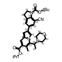 Cc1c(C(=O)OC(C)C)cc2cc(-c3cc(C#N)c4c(c3)CCN4C(=O)OC(C)(C)C)cn2c1C(C)N1CCOCC1